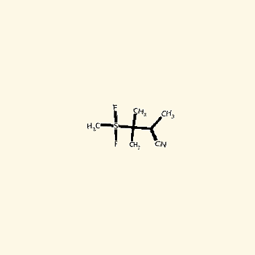 CC(C#N)C(C)(C)S(C)(F)F